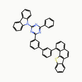 c1ccc(-c2nc(-c3cccc(-c4cccc(-c5cccc6ccc7c8ccccc8sc7c56)c4)c3)nc(-n3c4ccccc4c4ccccc43)n2)cc1